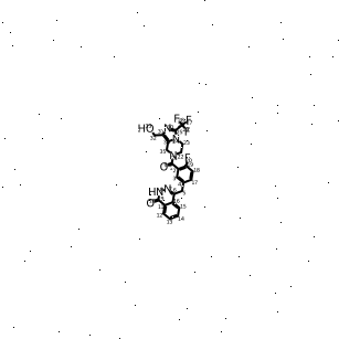 O=C(c1cc(Cc2n[nH]c(=O)c3ccccc23)ccc1F)N1CCn2c(C(F)(F)F)nc(CO)c2C1